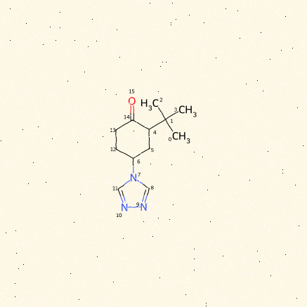 CC(C)(C)C1CC(n2cnnc2)CCC1=O